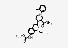 Cc1ccccc1N1CCN(C(=O)Cc2ccc(NC(=O)OC(C)(C)C)cc2OCC(F)(F)F)C(C(N)=O)C1